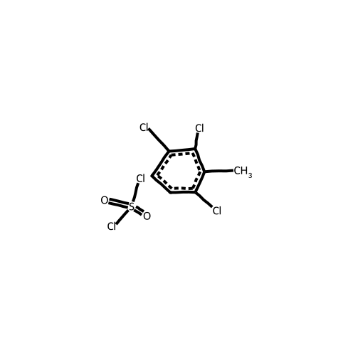 Cc1c(Cl)ccc(Cl)c1Cl.O=S(=O)(Cl)Cl